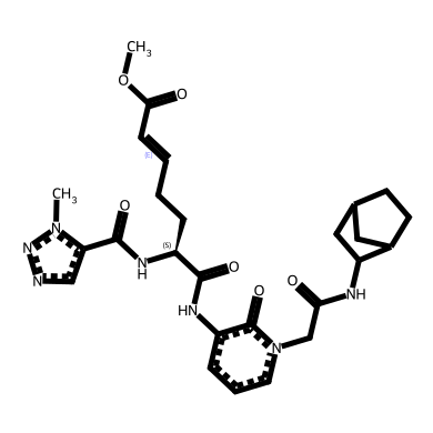 COC(=O)/C=C/CC[C@H](NC(=O)c1cnnn1C)C(=O)Nc1cccn(CC(=O)NC2CC3CCC2C3)c1=O